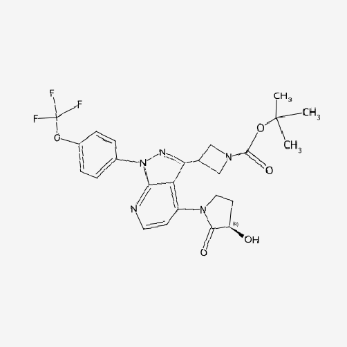 CC(C)(C)OC(=O)N1CC(c2nn(-c3ccc(OC(F)(F)F)cc3)c3nccc(N4CC[C@@H](O)C4=O)c23)C1